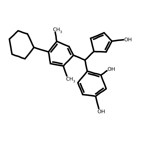 Cc1cc(C(c2ccc(O)cc2O)C2C=CC(O)=C2)c(C)cc1C1CCCCC1